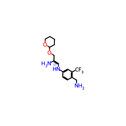 NCc1ccc(N/C=C(\N)COC2CCCCO2)cc1C(F)(F)F